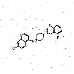 Fc1cccc(F)c1CN[C@H]1CC[C@H](Nc2ccnc3cc(Cl)ccc23)CC1